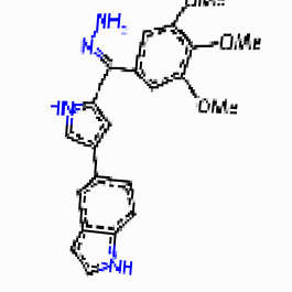 COc1cc(C(=NN)c2cc(-c3ccc4[nH]ccc4c3)c[nH]2)cc(OC)c1OC